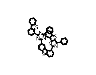 c1ccc(-c2nc(-c3ccc4sc5cccc(-c6nc(-c7ccccc7)c7sc8ccccc8c7n6)c5c4c3)nc(-c3cccc4c3sc3ccccc34)n2)cc1